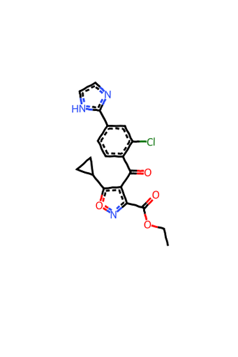 CCOC(=O)c1noc(C2CC2)c1C(=O)c1ccc(-c2ncc[nH]2)cc1Cl